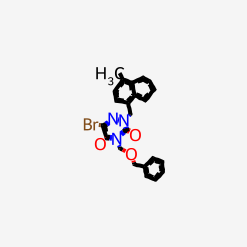 Cc1ccc(Cn2nc(Br)c(=O)n(COCc3ccccc3)c2=O)c2ccccc12